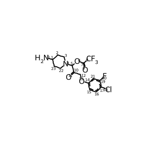 NC1CCN(C(OC(=O)C(F)(F)F)C(=O)COc2ccc(Cl)c(F)c2)CC1